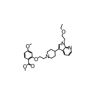 CCOCCn1cc(C2CCN(CCOc3cc(OC)ccc3C(=O)OC)CC2)c2cccnc21